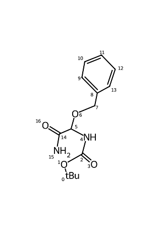 CC(C)(C)OC(=O)NC(OCc1ccccc1)C(N)=O